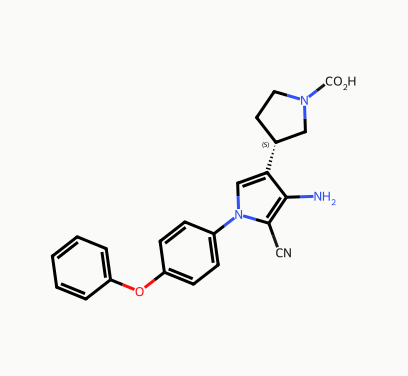 N#Cc1c(N)c([C@@H]2CCN(C(=O)O)C2)cn1-c1ccc(Oc2ccccc2)cc1